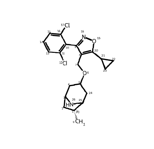 C[C@@H]1CC2CC(OCc3c(-c4c(Cl)cccc4Cl)noc3C3CC3)CC1N2